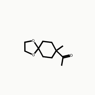 CC(=O)C1(C)CCC2(CC1)OCCO2